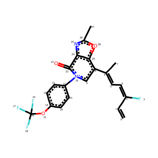 C=C/C(F)=C\C=C(/C)c1cn(-c2ccc(OC(F)(F)F)cc2)c(=O)c2nc(C)oc12